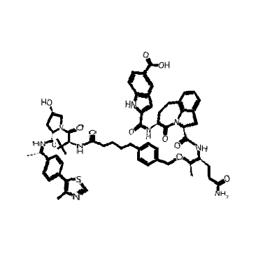 Cc1ncsc1-c1ccc([C@H](C)NC(=O)[C@@H]2C[C@@H](O)CN2C(=O)[C@@H](NC(=O)CCCCc2ccc(CO[C@H](C)[C@H](CCC(N)=O)NC(=O)[C@@H]3Cc4cccc5c4N3C(=O)[C@@H](NC(=O)c3cc4cc(C(=O)O)ccc4[nH]3)CC5)cc2)C(C)(C)C)cc1